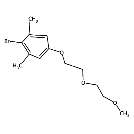 COCCOCCOc1cc(C)c(Br)c(C)c1